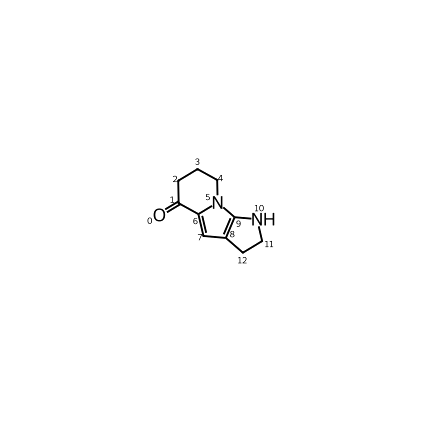 O=C1CCCn2c1cc1c2NCC1